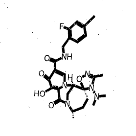 CC1=NO[C@@]2(CC[C@H](C)N3C[C@H]2n2cc(C(=O)NCc4ccc(C)cc4F)c(=O)c(O)c2C3=O)N1N(C)C